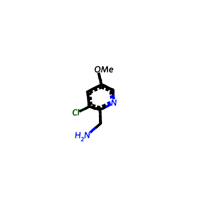 COc1cnc(CN)c(Cl)c1